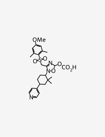 COc1cc(C)c(S(=O)(=O)CC2=NC(OC(=O)O)ON2C2CCC(c3ccncc3)CC2(C)C)c(C)c1